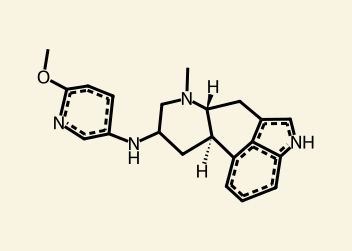 COc1ccc(NC2C[C@@H]3c4cccc5[nH]cc(c45)C[C@H]3N(C)C2)cn1